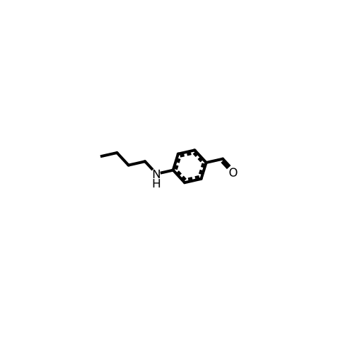 CCCCNc1ccc(C=O)cc1